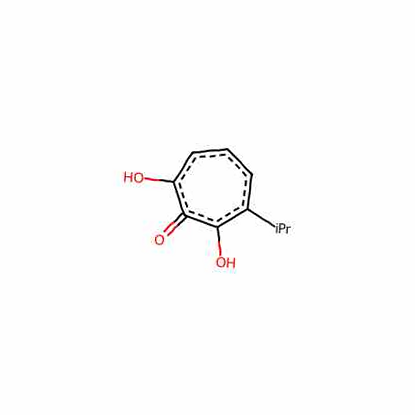 CC(C)c1cccc(O)c(=O)c1O